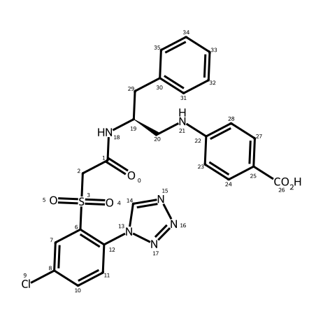 O=C(CS(=O)(=O)c1cc(Cl)ccc1-n1cnnn1)N[C@H](CNc1ccc(C(=O)O)cc1)Cc1ccccc1